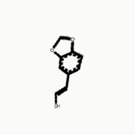 OC=Cc1ccc2c(c1)OCO2